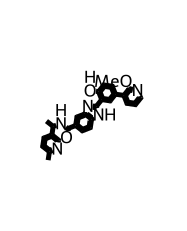 COc1ncccc1-c1ccc(O)c(-c2nc3cc(C(=O)NC(C)c4ccc(C)nc4)ccc3[nH]2)c1